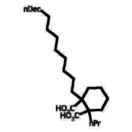 CCCCCCCCCCCCCCCCCCC1(C(=O)O)CCCCC1(CCC)C(=O)O